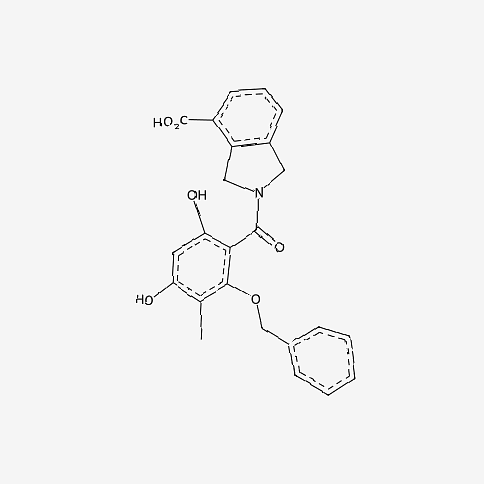 Cc1c(O)cc(O)c(C(=O)N2Cc3cccc(C(=O)O)c3C2)c1OCc1ccccc1